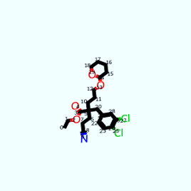 CCOC(=O)C(CCC#N)(CCCOC1CCCCO1)Cc1ccc(Cl)c(Cl)c1